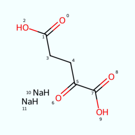 O=C(O)CCC(=O)C(=O)O.[NaH].[NaH]